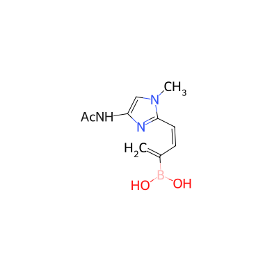 C=C(/C=C\c1nc(NC(C)=O)cn1C)B(O)O